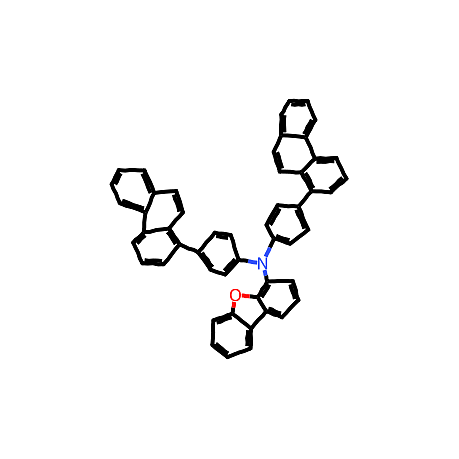 c1ccc2c(c1)ccc1c(-c3ccc(N(c4ccc(-c5cccc6c5ccc5ccccc56)cc4)c4cccc5c4oc4ccccc45)cc3)cccc12